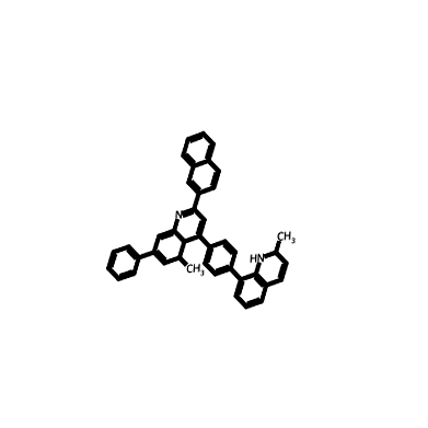 CC1C=Cc2cccc(-c3ccc(C4=CC(c5ccc6ccccc6c5)=NC5=CC(c6ccccc6)=CC(C)C54)cc3)c2N1